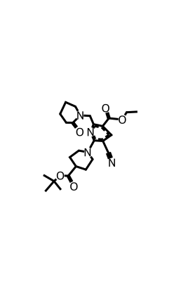 CCOC(=O)c1cc(C#N)c(N2CCC(C(=O)OC(C)(C)C)CC2)nc1CN1CCCCC1=O